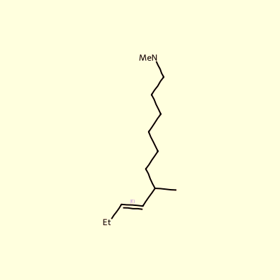 CC/C=C/C(C)CCCCCCNC